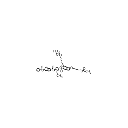 C=CC(=O)OCCCCCCOc1ccc2cc(C(=O)Oc3ccc(OC(=O)c4ccc5cc(OC(=O)c6ccccc6)ccc5c4)c(CCC)c3)c(OCCCCCCOC(=O)C=C)cc2c1